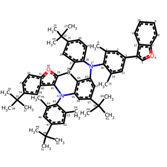 Cc1cc(-c2coc3ccccc23)cc(C)c1N1c2ccc(C(C)(C)C)cc2B2c3oc4ccc(C(C)(C)C)cc4c3N(c3c(C)cc(C(C)(C)C)cc3C)c3cc(C(C)(C)C)cc1c32